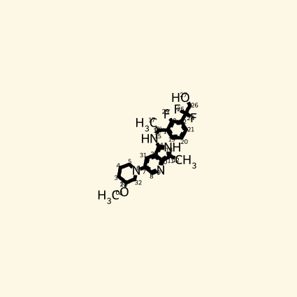 CO[C@H]1CCCN(c2cnc3c(C)[nH]c(N[C@H](C)c4cccc(C(F)(F)CO)c4F)c3c2)C1